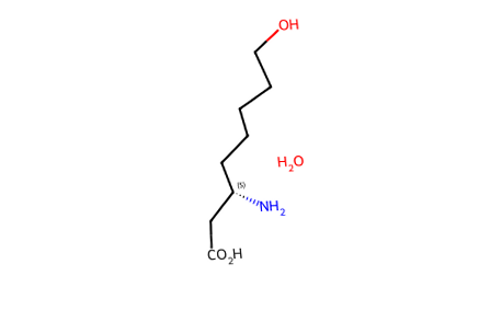 N[C@@H](CCCCCO)CC(=O)O.O